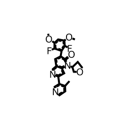 COc1cc(OC)c(F)c(-c2cc3cnc(-c4cnccc4C)cc3n(C3CCOC3)c2=O)c1F